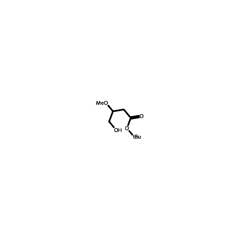 COC(CO)CC(=O)OC(C)(C)C